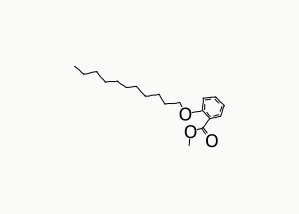 CCCCCCCCCCCOc1ccccc1C(=O)OC